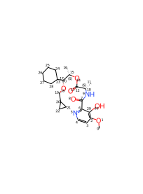 COc1ccnc(C(=O)N[C@@H](C)C(=O)O[C@@H](C)[C@H](OCC2CC2)C2CCCCC2)c1O